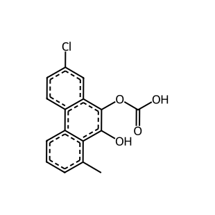 Cc1cccc2c1c(O)c(OC(=O)O)c1cc(Cl)ccc12